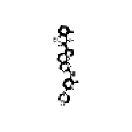 CCc1cccc(C)c1NC(=O)c1ccn2c1CCc1cnc(Nc3ccc(N4CCOCC4)nc3C)nc1-2